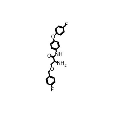 NC(COCc1ccc(F)cc1)C(=O)Nc1ccc(Oc2ccc(F)cc2)cc1